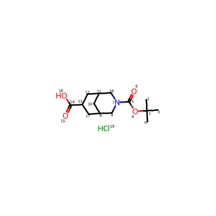 CC(C)(C)OC(=O)N1CC2CC(CC(C(=O)O)C2)C1.Cl